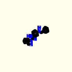 Cc1ccccc1Nc1nc2cc(NCc3ccccc3)ccc2[nH]1